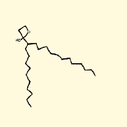 CCCCCCCCCCCCC(CCCCCCCCCC)C1(O)CCO1